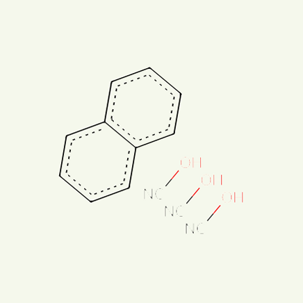 N#CO.N#CO.N#CO.c1ccc2ccccc2c1